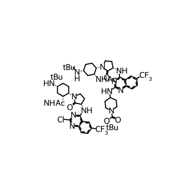 CC(=O)N[C@@H]1C[C@H](NC(C)(C)C)CC[C@@H]1N1CC[C@H](Nc2nc(Cl)nc3ccc(C(F)(F)F)cc23)C1=O.CC(=O)N[C@@H]1C[C@H](NC(C)(C)C)CC[C@@H]1N1CC[C@H](Nc2nc(NC3CCN(C(=O)OC(C)(C)C)CC3)nc3ccc(C(F)(F)F)cc23)C1=O